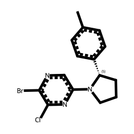 Cc1ccc([C@@H]2CCCN2c2cnc(Br)c(Cl)n2)cc1